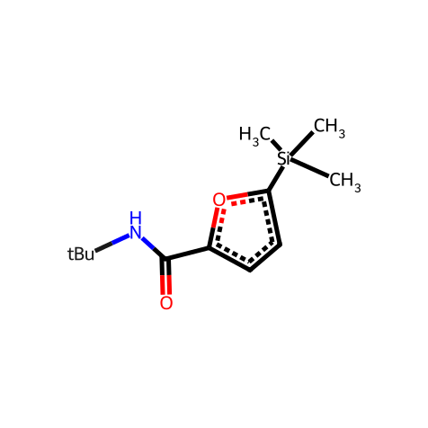 CC(C)(C)NC(=O)c1ccc([Si](C)(C)C)o1